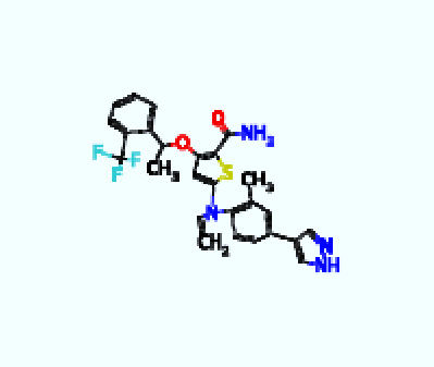 C=CN(c1cc(OC(C)c2ccccc2C(F)(F)F)c(C(N)=O)s1)c1ccc(-c2cn[nH]c2)cc1C